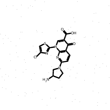 NC1CCN(c2ccc3c(=O)c(C(=O)O)cn(-c4nc(Cl)cs4)c3n2)C1